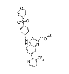 CCOCc1nc(Nc2ccc(S(=O)(=O)N3CCOCC3)cc2)c2ccc(-c3ncccc3C(F)(F)F)cc2n1